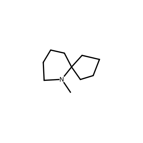 CN1CCCCC12CCCC2